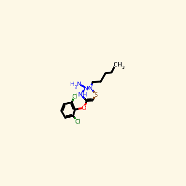 CCCCCn1scc(Oc2c(Cl)cccc2Cl)[nH]n1N